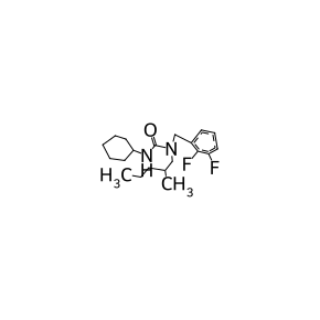 CCCC(C)CN(Cc1cccc(F)c1F)C(=O)NC1CCCCC1